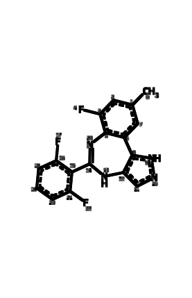 Cc1cc(F)c2c(c1)-c1[nH]ncc1NC(c1c(F)cccc1F)=N2